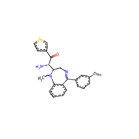 COc1cccc(C2=NCC(C(N)C(=O)c3ccsc3)N(C)c3ccccc32)c1